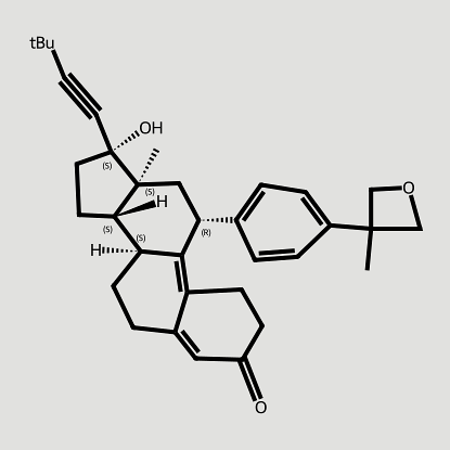 CC(C)(C)C#C[C@]1(O)CC[C@H]2[C@@H]3CCC4=CC(=O)CCC4=C3[C@@H](c3ccc(C4(C)COC4)cc3)C[C@@]21C